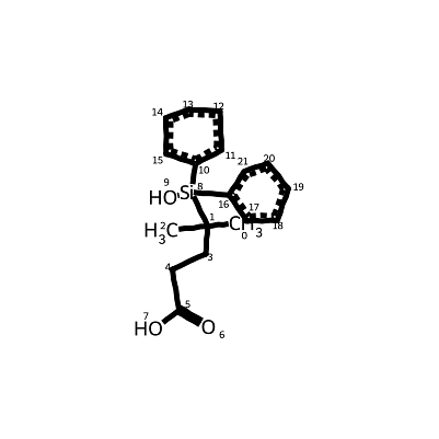 CC(C)(CCC(=O)O)[Si](O)(c1ccccc1)c1ccccc1